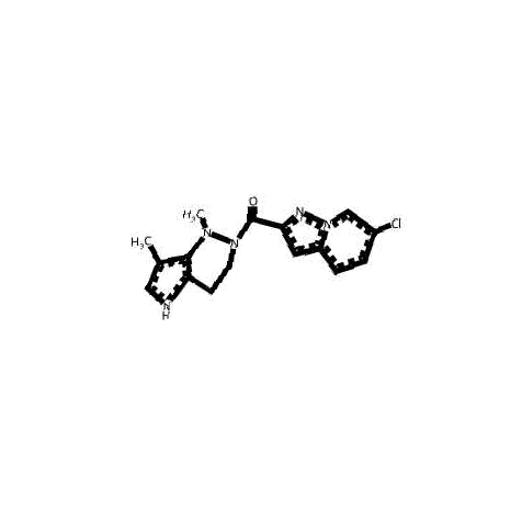 Cc1c[nH]c2c1N(C)N(C(=O)c1cc3ccc(Cl)cn3n1)CC2